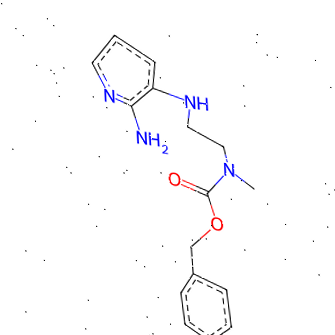 CN(CCNc1cccnc1N)C(=O)OCc1ccccc1